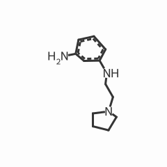 Nc1cccc(NCCN2CCCC2)c1